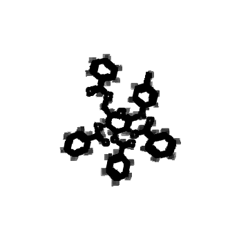 Cc1ccc(SC2O[C@H](COC(=O)c3ccccc3)[C@@H](OC(=O)c3ccccc3)[C@H](OC(=O)c3ccccc3)[C@H]2OC(=O)c2ccccc2)cc1